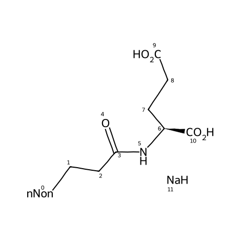 CCCCCCCCCCCC(=O)N[C@@H](CCC(=O)O)C(=O)O.[NaH]